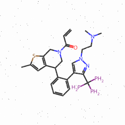 C=CC(=O)N1Cc2sc(C)cc2C(c2ccccc2-c2cn(CCN(C)C)nc2C(P)(P)P)C1